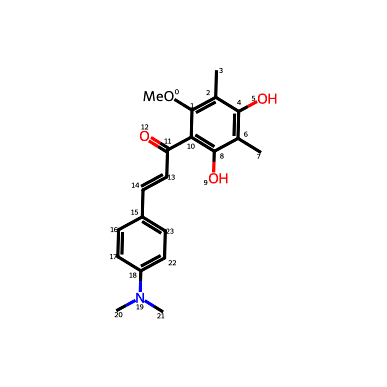 COc1c(C)c(O)c(C)c(O)c1C(=O)/C=C/c1ccc(N(C)C)cc1